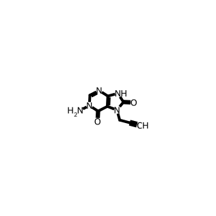 C#CCn1c(=O)[nH]c2ncn(N)c(=O)c21